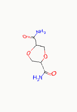 NC(=O)C1COC(C(N)=O)CO1